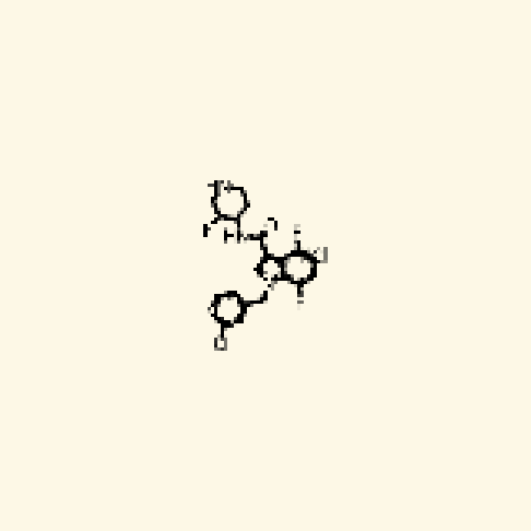 Cl.O=C(NC1CCNCC1F)c1cn(Cc2ccnc(Cl)c2)c2c(F)ccc(F)c12